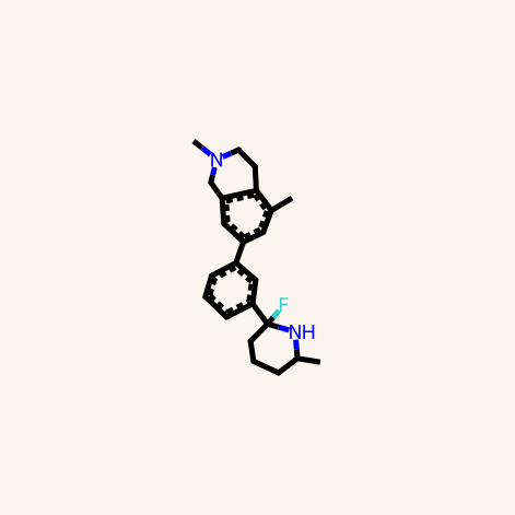 Cc1cc(-c2cccc(C3(F)CCCC(C)N3)c2)cc2c1CCN(C)C2